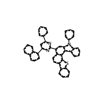 c1ccc(-c2cc(-c3cccc4ccccc34)nc(-c3cc4c(c5ccccc5n4-c4ccccc4)c4c3ccc3c5ccccc5sc34)n2)cc1